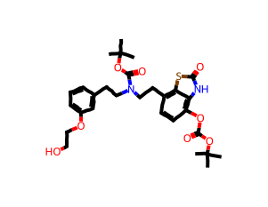 CC(C)(C)OC(=O)Oc1ccc(CCN(CCc2cccc(OCCO)c2)C(=O)OC(C)(C)C)c2sc(=O)[nH]c12